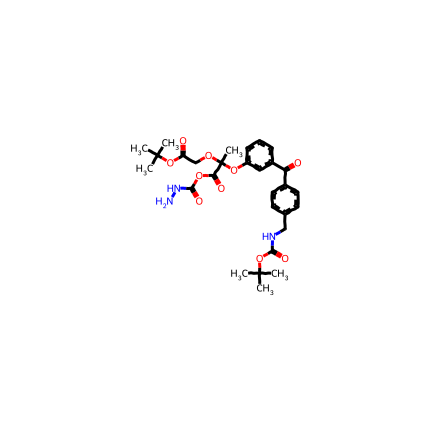 CC(C)(C)OC(=O)COC(C)(Oc1cccc(C(=O)c2ccc(CNC(=O)OC(C)(C)C)cc2)c1)C(=O)OC(=O)NN